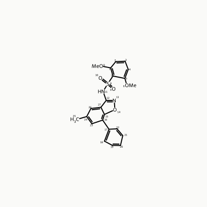 COc1cccc(OC)c1S(=O)(=O)Nc1noc2c(-c3ccccc3)cc(C)cc12